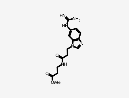 COC(=O)CCNC(=O)CCn1cnc2ccc(NC(=N)N)cc21